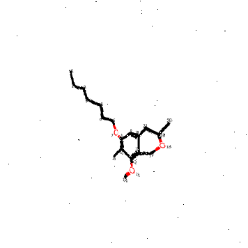 CCCCCCCOc1cc2c(c(OC)c1C)COC(C)C2